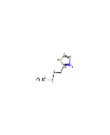 O=CCCCc1nccs1